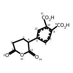 O=C1CCC(c2ccc(C(=O)O)c(C(=O)O)c2)C(=O)O1